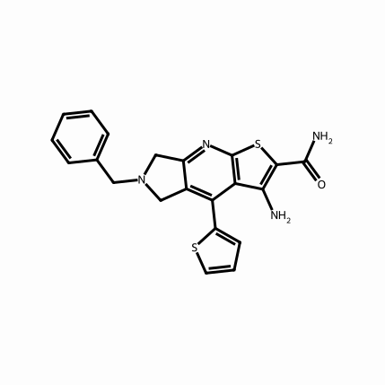 NC(=O)c1sc2nc3c(c(-c4cccs4)c2c1N)CN(Cc1ccccc1)C3